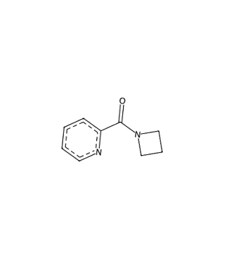 O=C(c1ccccn1)N1CCC1